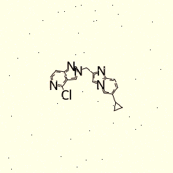 Clc1nccc2nn(Cc3cn4cc(C5CC5)ccc4n3)cc12